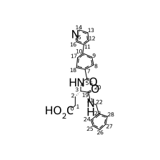 O=C(O)CC[C@H](NC(=O)c1ccc(-c2cccnc2)cc1)C(=O)NCc1ccccc1